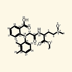 COC(=O)C(CC[S+](C)[O-])NC(=O)CN(c1ccccc1C(=O)O)c1cccc(C)c1C